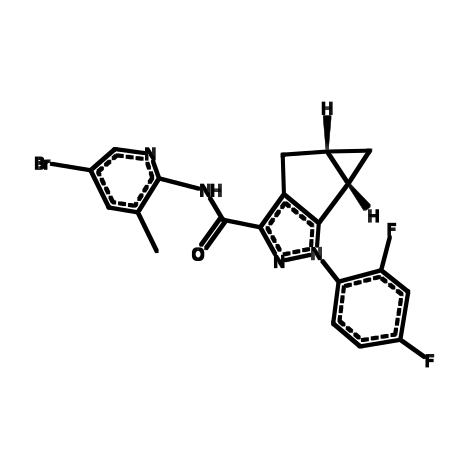 Cc1cc(Br)cnc1NC(=O)c1nn(-c2ccc(F)cc2F)c2c1C[C@@H]1C[C@H]21